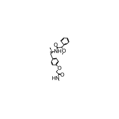 CNC(=O)COc1ccc(C[C@@H](C)NC(=O)C(OC)c2ccccc2)cc1